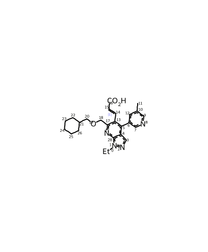 CCn1ncc2c(-c3cncc(C)c3)c(/C=C/C(=O)O)c(COCC3CCCCC3)nc21